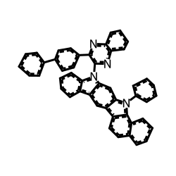 c1ccc(-c2ccc(-c3nc4ccccc4nc3-n3c4ccccc4c4cc5c6ccc7ccccc7c6n(-c6ccccc6)c5cc43)cc2)cc1